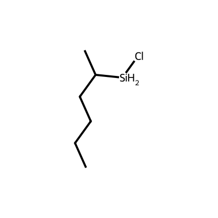 CCCCC(C)[SiH2]Cl